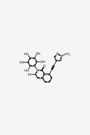 CCc1cc2cccc(C#Cc3cnn(C)c3)c2c(=O)n1-c1c(O)c(O)c(O)c(O)c1O